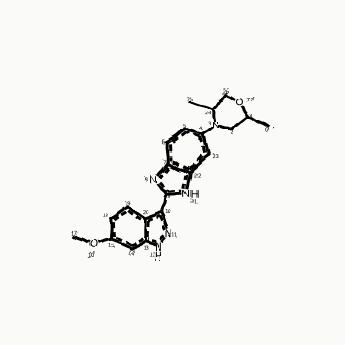 [CH2]C1CN(c2ccc3nc(-c4n[nH]c5cc(OC)ccc45)[nH]c3c2)C(C)CO1